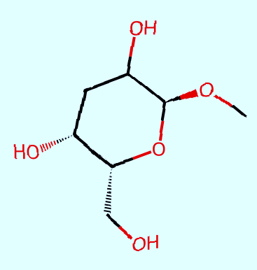 CO[C@H]1O[C@H](CO)[C@H](O)CC1O